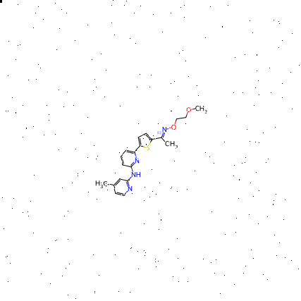 COCCO/N=C(\C)c1ccc(-c2cccc(Nc3cc(C)ccn3)n2)s1